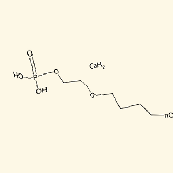 CCCCCCCCCCCCOCCOP(=O)(O)O.[CaH2]